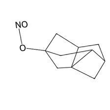 O=NOC12CC3CC4CC3(C1)C4C2